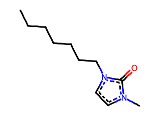 CCCCCCCn1ccn(C)c1=O